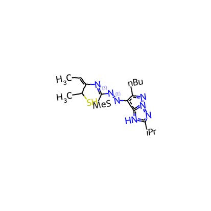 CC=C(/N=C(/N=N/c1c(CCCC)nn2nc(C(C)C)[nH]c12)SC)C(C)S